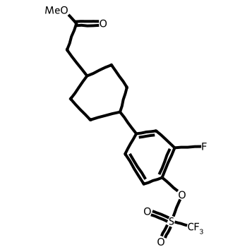 COC(=O)CC1CCC(c2ccc(OS(=O)(=O)C(F)(F)F)c(F)c2)CC1